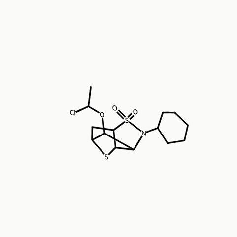 CC(Cl)OC1C2CC3C(S2)C1N(C1CCCCC1)S3(=O)=O